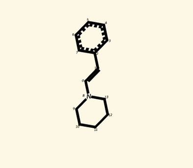 [C](=Cc1ccccc1)N1CCCCC1